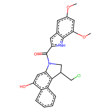 COc1cc(OC)c2[nH]c(C(=O)N3CC(CCl)c4c3cc(O)c3ccccc43)cc2c1